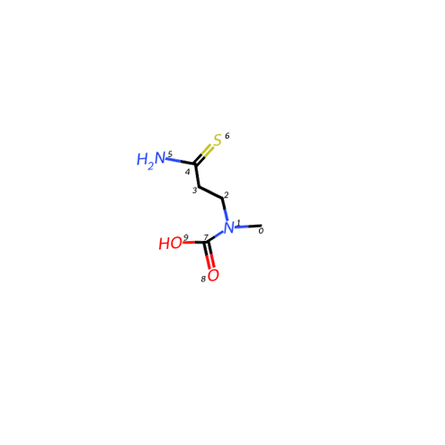 CN(CCC(N)=S)C(=O)O